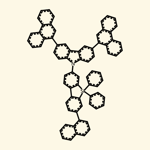 c1ccc([Si]2(c3ccccc3)c3cc(-c4cccc5ccccc45)ccc3-c3ccc(-n4c5ccc(-c6cc7ccccc7c7ccccc67)cc5c5cc(-c6cc7ccccc7c7ccccc67)ccc54)cc32)cc1